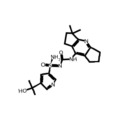 CC(C)(O)c1cncc([S@](N)(=O)=NC(=O)Nc2c3c(nc4c2CCC4(C)C)CCC3)c1